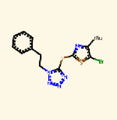 CC(C)(C)c1nc(Sc2nnnn2CCc2ccccc2)sc1Br